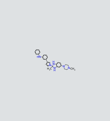 CN1CCN(c2ccc3c(c2)NC(C)(n2c[c]c(-c4cccc(Nc5ccccc5)c4)c2)N3)CC1